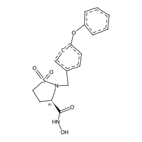 O=C(NO)[C@H]1CCS(=O)(=O)N1Cc1ccc(Oc2ccccc2)cc1